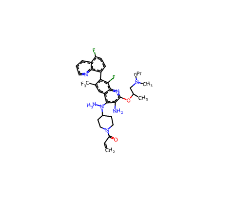 C=CC(=O)N1CCC(N(N)c2c(N)c(OC(C)CN(C)CCC)nc3c(F)c(-c4ccc(F)c5cccnc45)c(C(F)(F)F)cc23)CC1